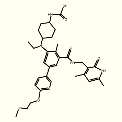 CCN(c1cc(-c2ccc(OCCOC)nc2)cc(C(=O)NCc2c(C)cc(C)[nH]c2=O)c1C)C1CCC(NC(=O)O)CC1